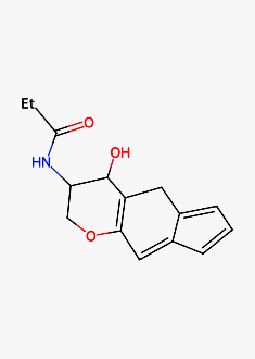 CCC(=O)NC1COC2=C(CC3=CC=CC3=C2)C1O